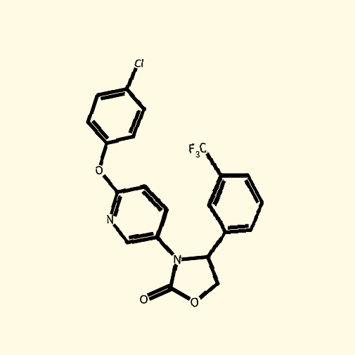 O=C1OCC(c2cccc(C(F)(F)F)c2)N1c1ccc(Oc2ccc(Cl)cc2)nc1